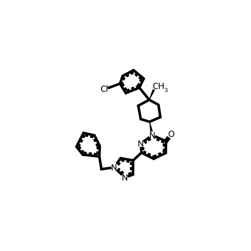 C[C@]1(c2cccc(Cl)c2)CC[C@H](n2nc(-c3cnn(Cc4ccccc4)c3)ccc2=O)CC1